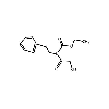 CCOC(=O)N(CCc1ccccc1)C(=O)CC